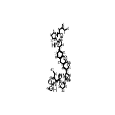 CC[C@H](C)CC(=O)N1CCC[C@H]1C1=NCC(c2ccc3c(c2)Oc2ncc(C4CN=C([C@@H]5CCCN5C(=O)[C@@H](NC(=O)OC)[C@@H](C)CC)N4)cc2C3)N1